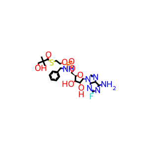 CC(C)(CO)C(=O)SCCOP(=O)(NCc1ccccc1)OC[C@H]1O[C@@H](N2C=NC3C(N)=NC(F)=NC32)[C@H](O)C1O